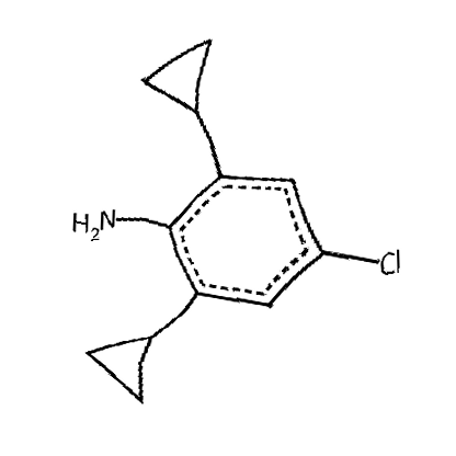 Nc1c(C2CC2)cc(Cl)cc1C1CC1